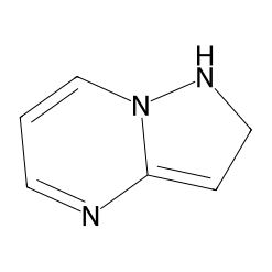 C1=CN2NCC=C2N=C1